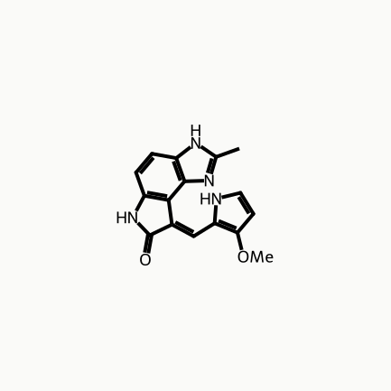 COc1cc[nH]c1/C=C1/C(=O)Nc2ccc3[nH]c(C)nc3c21